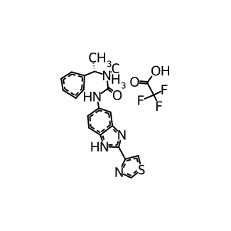 C[C@@H](c1ccccc1)N(C)C(=O)Nc1ccc2[nH]c(-c3cscn3)nc2c1.O=C(O)C(F)(F)F